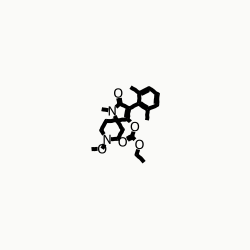 CCOC(=O)OC1=C(c2c(C)cccc2C)C(=O)N(C)C12CCN(OC)CC2